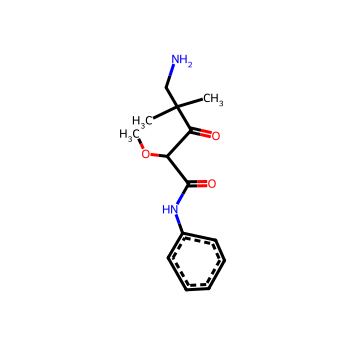 COC(C(=O)Nc1ccccc1)C(=O)C(C)(C)CN